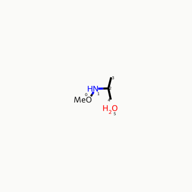 CONC(C)C.O